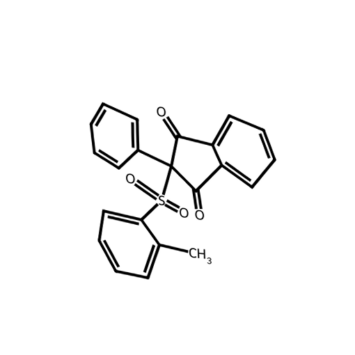 Cc1ccccc1S(=O)(=O)C1(c2ccccc2)C(=O)c2ccccc2C1=O